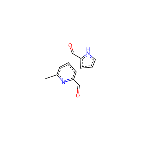 Cc1cccc(C=O)n1.O=Cc1ccc[nH]1